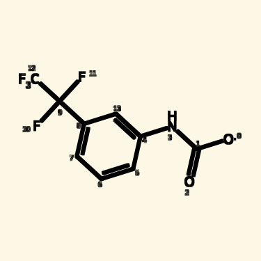 [O]C(=O)Nc1cccc(C(F)(F)C(F)(F)F)c1